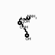 C[C@H](Cc1cccc(CC(=O)NCCCCc2ccc(O)cc2)c1)NC[C@H](O)c1ccc(N)nc1